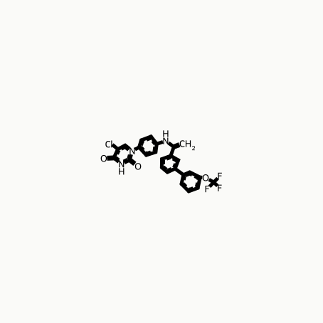 C=C(Nc1ccc(-n2cc(Cl)c(=O)[nH]c2=O)cc1)c1cccc(-c2cccc(OC(F)(F)F)c2)c1